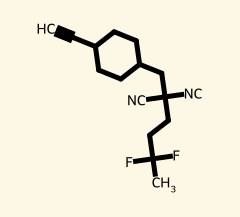 [C-]#[N+]C(C#N)(CCC(C)(F)F)CC1CCC(C#C)CC1